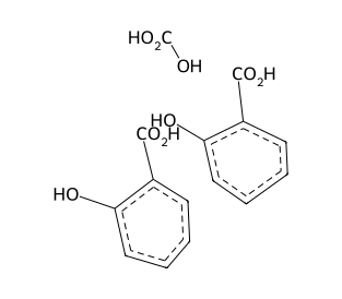 O=C(O)O.O=C(O)c1ccccc1O.O=C(O)c1ccccc1O